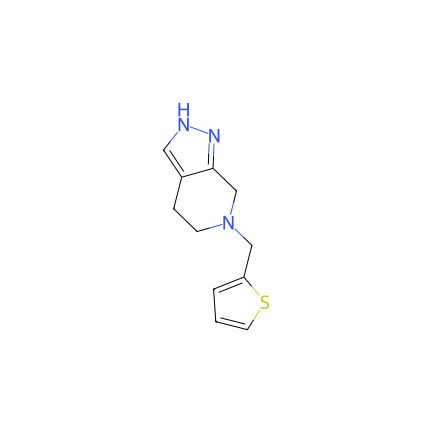 c1csc(CN2CCc3c[nH]nc3C2)c1